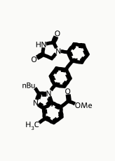 CCCCc1nc2c(C)ccc(C(=O)OC)c2n1-c1ccc(-c2ccccc2N2CC(=O)NC2=O)cc1